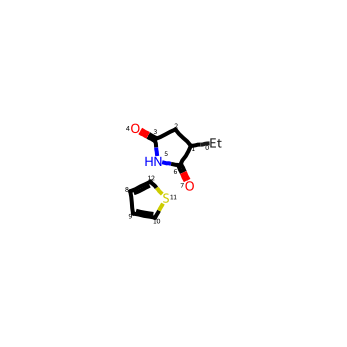 CCC1CC(=O)NC1=O.c1ccsc1